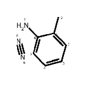 Cc1ccccc1N.N#N